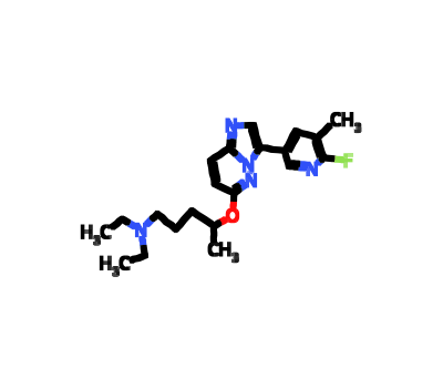 CCN(CC)CCCC(C)Oc1ccc2ncc(-c3cnc(F)c(C)c3)n2n1